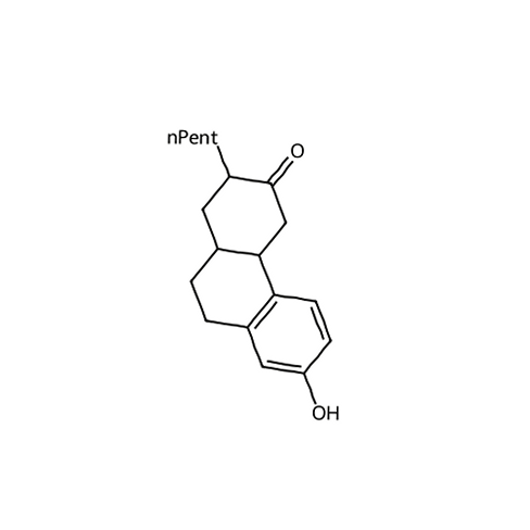 CCCCCC1CC2CCc3cc(O)ccc3C2CC1=O